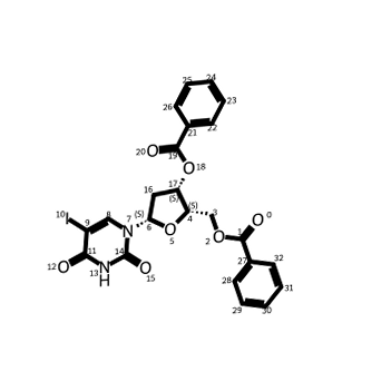 O=C(OC[C@@H]1O[C@H](n2cc(I)c(=O)[nH]c2=O)C[C@@H]1OC(=O)c1ccccc1)c1ccccc1